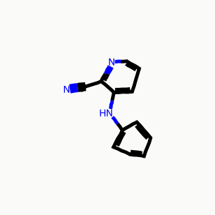 N#Cc1ncccc1Nc1ccccc1